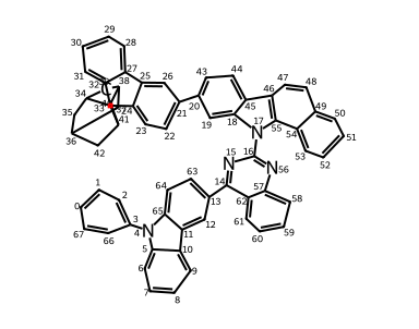 c1ccc(-n2c3ccccc3c3cc(-c4nc(-n5c6cc(-c7ccc8c(c7)-c7ccccc7C87C8CC9CC(C8)CC7C9)ccc6c6ccc7ccccc7c65)nc5ccccc45)ccc32)cc1